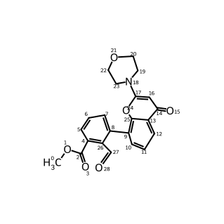 COC(=O)c1cccc(-c2cccc3c(=O)cc(N4CCOCC4)oc23)c1C=O